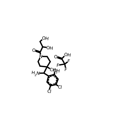 CC1(C(N)c2cc(Cl)c(Cl)cc2O)CCN(C(=O)C(O)CO)CC1.O=C(O)C(F)(F)F